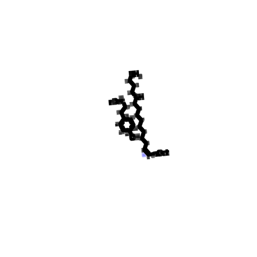 CCCCCCCC/C=C\CCCCCCCCNCCCN.CCCCCCCCCCCCc1ccc(O)cc1